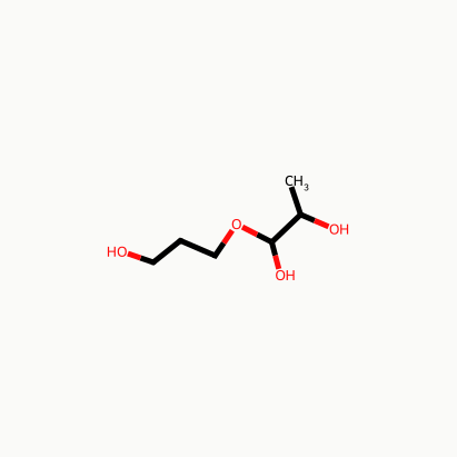 CC(O)C(O)OCCCO